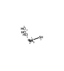 B.CS.Cl.Cl.Cl